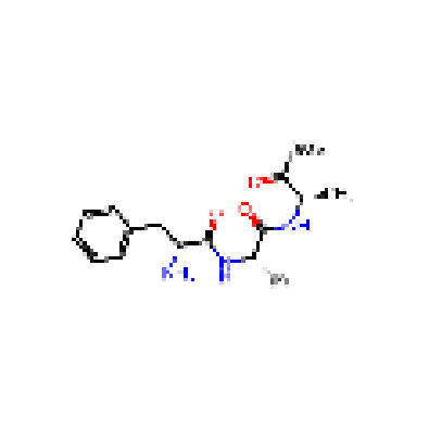 COC(=O)[C@H](C)NC(=O)[C@@H](NC(=O)[C@H](N)Cc1ccccc1)C(C)C